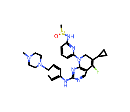 C/C=C(\C=C/CN1CCN(C)CC1)Nc1ncc2c(n1)N(c1cccc(N[S+](C)[O-])n1)CC(C1CC1)=C2F